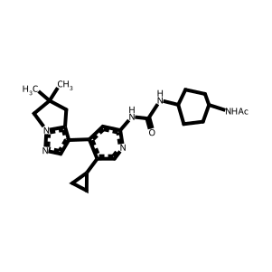 CC(=O)NC1CCC(NC(=O)Nc2cc(-c3cnn4c3CC(C)(C)C4)c(C3CC3)cn2)CC1